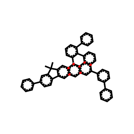 CC1(C)c2cc(-c3ccccc3)ccc2-c2ccc(N(c3ccc(-c4cccc(-c5ccccc5)c4)cc3)c3cccc(-c4ccccc4)c3-c3ccccc3-c3ccccc3)cc21